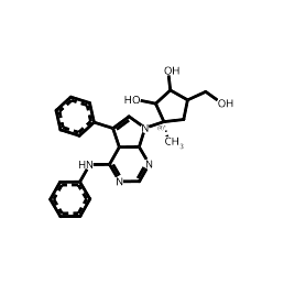 C[C@@]1(N2C=C(c3ccccc3)C3C(Nc4ccccc4)=NC=NC32)CC(CO)C(O)C1O